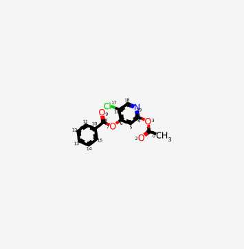 CC(=O)Oc1cc(OC(=O)c2ccccc2)c(Cl)cn1